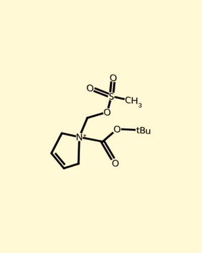 CC(C)(C)OC(=O)[N+]1(COS(C)(=O)=O)CC=CC1